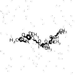 C=C1CC2C=Nc3cc(OCCCC(=O)N(I)c4cc(C(=O)Nc5cc(C(=O)NCCCNC)n(C)c5)n(C)c4)c(OC)cc3C(=O)N2C1